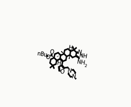 CCCCOC(=O)[C@]12CCC(C)(C)C[C@H]1C1=C(c3ccoc3CN3CCN(C)CC3)CC3[C@@]4(C)Cc5c(n[nH]c5N)C(C)(C)[C@@H]4CC[C@@]3(C)[C@]1(C)CC2